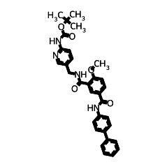 COc1ccc(C(=O)Nc2ccc(-c3ccccc3)cc2)cc1C(=O)NCc1ccc(NC(=O)OC(C)(C)C)nc1